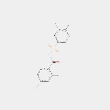 Cc1ccc(S(=O)(=O)NC(=O)c2ccc(Cl)cc2Cl)cc1Cl